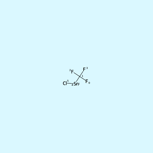 F[C](F)(F)[Sn][Cl]